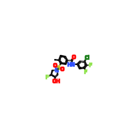 Cc1ccc(C(=O)Nc2cc(F)c(F)c(Cl)c2)cc1S(=O)(=O)N1CC(O)C(F)C1